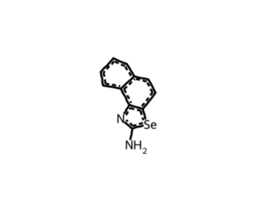 Nc1nc2c(ccc3ccccc32)[se]1